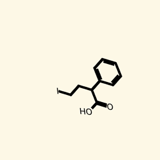 O=C(O)C(CCI)c1ccccc1